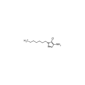 CCCCCCCn1ncc(N)c1Cl